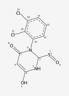 O=[S+]C1NC(O)=CC(=O)N1c1cccc(Cl)c1Cl